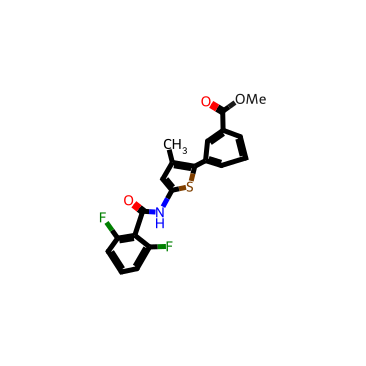 COC(=O)c1cccc(-c2sc(NC(=O)c3c(F)cccc3F)cc2C)c1